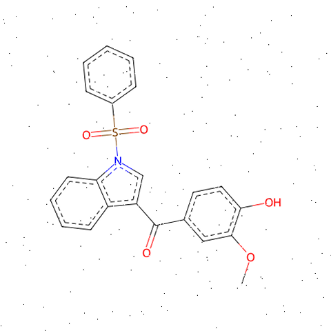 COc1cc(C(=O)c2cn(S(=O)(=O)c3ccccc3)c3ccccc23)ccc1O